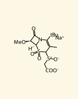 CO[C@H]1C(=O)N2C(C(C)(C)C)=C(C)C([S+]([O-])CC(=O)[O-])S(=O)(=O)[C@@H]12.[Na+]